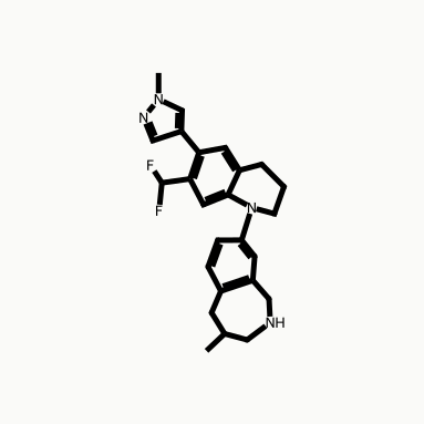 CC1CNCc2cc(N3CCCc4cc(-c5cnn(C)c5)c(C(F)F)cc43)ccc2C1